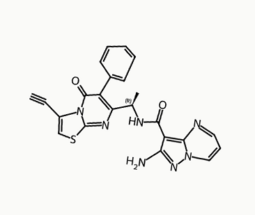 C#Cc1csc2nc([C@@H](C)NC(=O)c3c(N)nn4cccnc34)c(-c3ccccc3)c(=O)n12